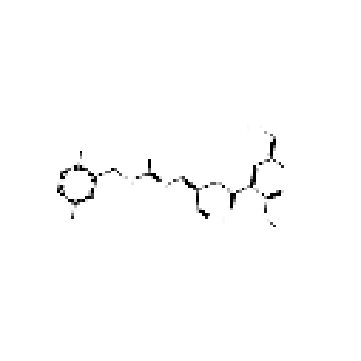 C=C/C(=C\N=C(/C)NCc1cc(F)ccc1F)CC(=C)/C(=C/C(F)=C\N)C(=C)NC